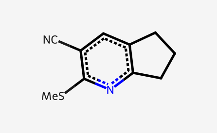 [CH2]Sc1nc2c(cc1C#N)CCC2